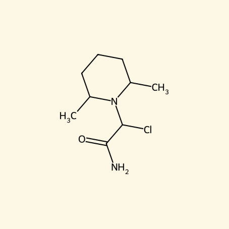 CC1CCCC(C)N1C(Cl)C(N)=O